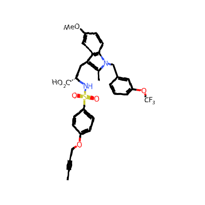 CC#CCOc1ccc(S(=O)(=O)N[C@@H](Cc2c(C)n(Cc3cccc(OC(F)(F)F)c3)c3ccc(OC)cc23)C(=O)O)cc1